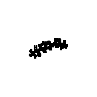 CC(C)(C)NC(=O)N1CCc2sc(-c3noc(C(F)(F)F)n3)cc2C1